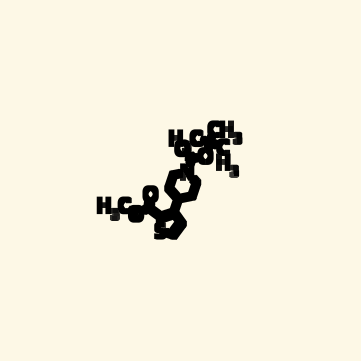 COC(=O)c1sccc1C1CCN(C(=O)OC(C)(C)C)CC1